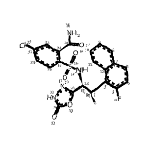 C[C@H](c1c(F)ccc2ccccc12)[C@H](NS(=O)(=O)c1ccc(Cl)cc1C(N)=O)c1n[nH]c(=O)o1